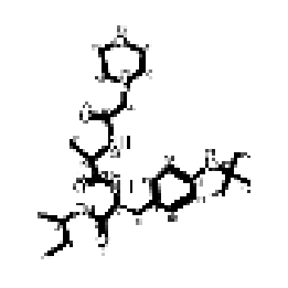 CCC(C)OC(=O)[C@H](Cc1ccc(OC(C)(C)C)cc1)NC(=O)C(C)NC(=O)CN1CCOCC1